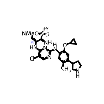 CN/C=C(/Nc1nc(Nc2cc(C)c(C3CCNC3)cc2OC2CC2)ncc1Cl)C(=N)S(=O)(=O)C(C)C